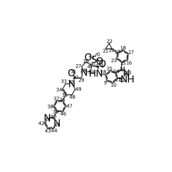 CS(=O)(=O)[C@@]1(C(=O)Nc2ccc3[nH]nc(-c4cccc(C5CC5)c4)c3c2)CCN(CC(=O)N2CC=C(c3ccc(-c4ncccn4)cc3)CC2)C1